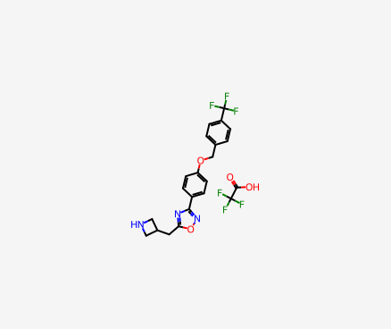 FC(F)(F)c1ccc(COc2ccc(-c3noc(CC4CNC4)n3)cc2)cc1.O=C(O)C(F)(F)F